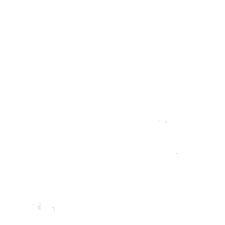 C=C(/C=C/CCCCCCC)OCCS